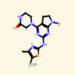 CCOC(=O)c1sc(Nc2nc3c(c(N4CCNC(=O)C4)n2)CCN3CC)nc1C